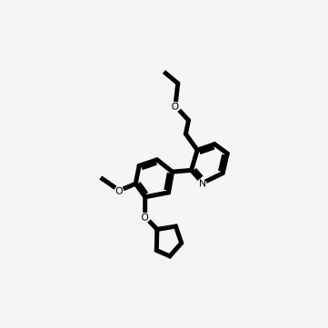 CCOCCc1cccnc1-c1ccc(OC)c(OC2CCCC2)c1